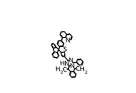 C=Cc1ccccc1C(=C)C1=NC(c2ccccc2)=NC(C2=CC3Sc4cc(C5=CCCc6cccnc65)ccc4C4(c5ccccc5-c5ccccc54)C3C=C2)N1